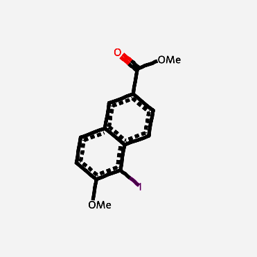 COC(=O)c1ccc2c(I)c(OC)ccc2c1